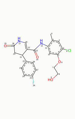 Cc1cc(Cl)c(OCCO)cc1NC(=O)C1=CNC(=O)CC1c1ccc(F)cc1